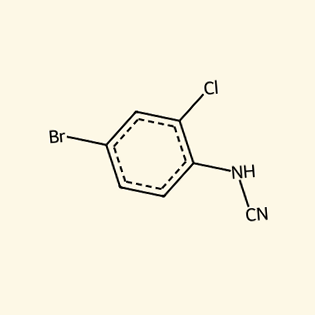 N#CNc1ccc(Br)cc1Cl